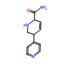 NC(=O)C1C=CC(c2ccncc2)CN1